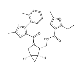 CCn1nc(C)cc1C(=O)NC[C@@H]1[C@H]2C[C@H]2CN1C(=O)c1nc(C)sc1-c1ccccc1C